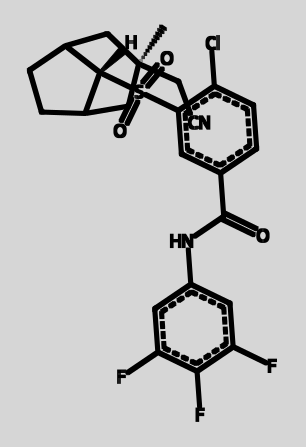 C[C@]1(CC#N)CC2CCC(C1)[C@@H]2S(=O)(=O)c1cc(C(=O)Nc2cc(F)c(F)c(F)c2)ccc1Cl